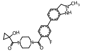 CN1Cc2ccc(-c3ccc(C(=O)N4CCN(C(=O)C5(O)CC5)CC4)c(F)c3)cc2N1